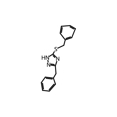 c1ccc(CSc2nc(Cc3ccccc3)n[nH]2)cc1